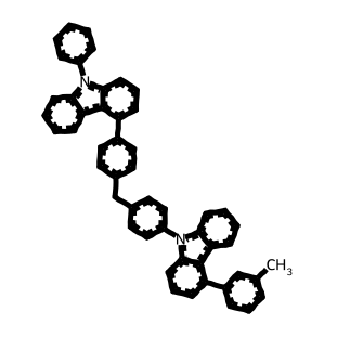 Cc1cccc(-c2cccc3c2c2ccccc2n3-c2ccc(Cc3ccc(-c4cccc5c4c4ccccc4n5-c4ccccc4)cc3)cc2)c1